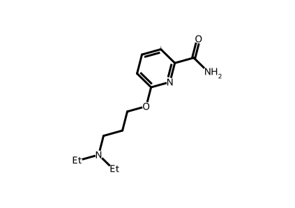 CCN(CC)CCCOc1cc[c]c(C(N)=O)n1